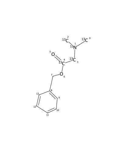 [13CH3][15N]([13CH3])[13CH2][13C](=O)OCc1ccccc1